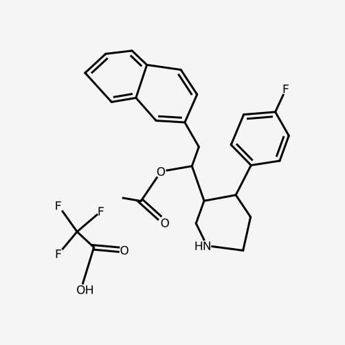 CC(=O)OC(Cc1ccc2ccccc2c1)C1CNCCC1c1ccc(F)cc1.O=C(O)C(F)(F)F